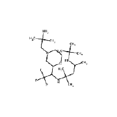 CC(CC(C)(C)NC(C1CN(CC(C)(C)N)CCO1)C(F)(F)F)NC(C)(C)C